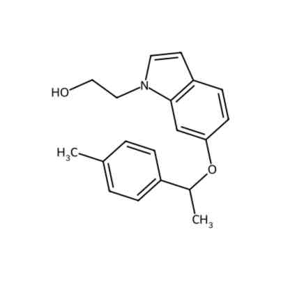 Cc1ccc(C(C)Oc2ccc3ccn(CCO)c3c2)cc1